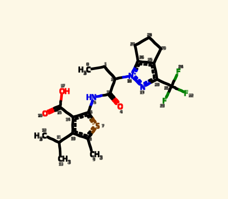 CCC(C(=O)Nc1sc(C)c(C(C)C)c1C(=O)O)n1nc(C(F)(F)F)c2c1CCC2